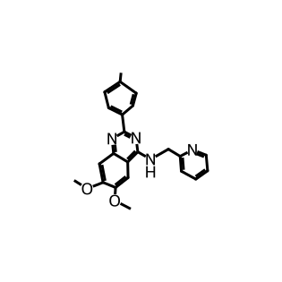 COc1cc2nc(-c3ccc(C)cc3)nc(NCc3ccccn3)c2cc1OC